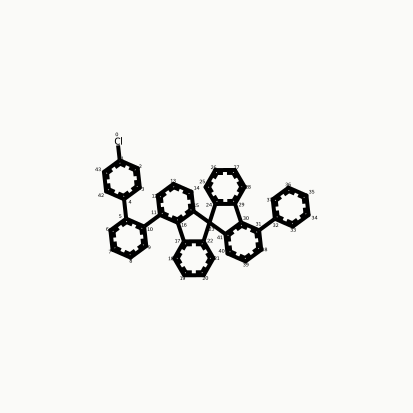 Clc1ccc(-c2ccccc2-c2cccc3c2-c2ccccc2C32c3ccccc3-c3c(-c4ccccc4)cccc32)cc1